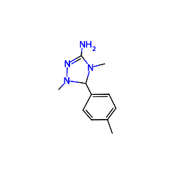 Cc1ccc(C2N(C)N=C(N)N2C)cc1